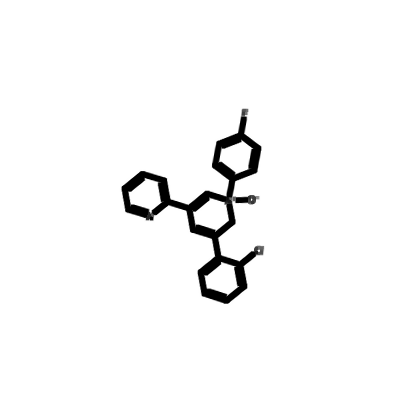 [O-][N+]1(c2ccc(F)cc2)C=C(c2ccccn2)C=C(c2ccccc2Cl)C1